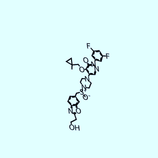 CC1(COc2c(N3CCN([S+]([O-])Cc4ccc5nc(CCO)oc5c4)CC3)cnn(-c3cc(F)cc(F)c3)c2=O)CC1